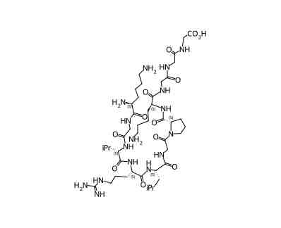 CC(C)C[C@H](NC(=O)[C@H](CCCNC(=N)N)NC(=O)[C@@H](NC(=O)CNC(=O)[C@@H](N)CCCCN)C(C)C)C(=O)NCC(=O)N1CCC[C@H]1C(=O)N[C@@H](CCCCN)C(=O)NCC(=O)NCC(=O)NCC(=O)O